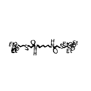 CCO[Si](CCCSCCC(=O)NCCCCCCNC(=O)CCSCCC[Si](OCC)(OCC)OCC)(OCC)OCC